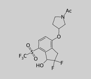 CC(=O)N1CCC(Oc2ccc(S(=O)(=O)C(F)(F)F)c3c2CC(F)(F)C3O)C1